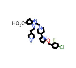 CN1CCC(CCn2c(CN3CCC(c4cccc(OCc5ccc(Cl)cc5F)n4)CC3)nc3ccc(C(=O)O)cc32)CC1